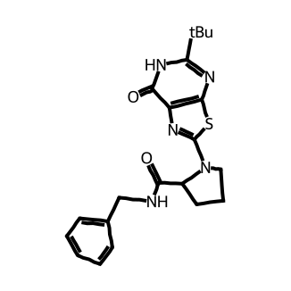 CC(C)(C)c1nc2sc(N3CCCC3C(=O)NCc3ccccc3)nc2c(=O)[nH]1